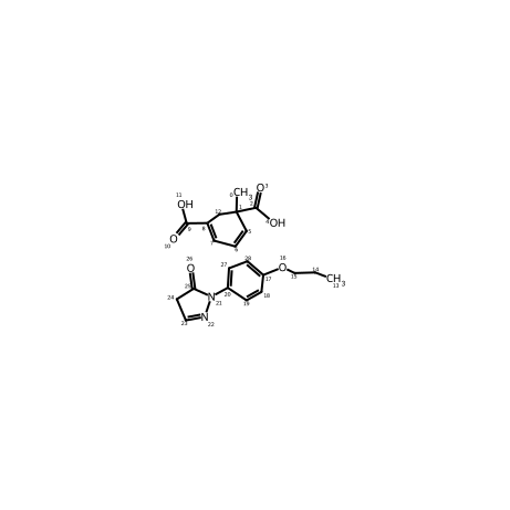 CC1(C(=O)O)C=CC=C(C(=O)O)C1.CCCOc1ccc(N2N=CCC2=O)cc1